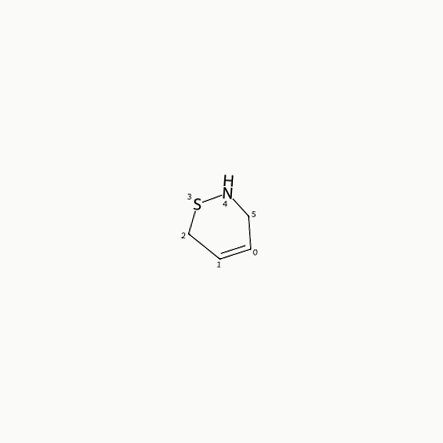 C1=CCSNC1